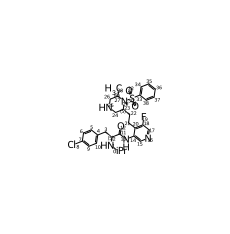 CC(C)N[C@@H](Cc1ccc(Cl)cc1)C(=O)Nc1cncc(F)c1CC[C@H]1CNC[C@@H](C)N1S(=O)(=O)c1ccccc1